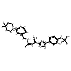 C/C(=N/C(=N)c1nc(-c2ccc(OC(C)(F)F)cc2)no1)NCc1ccnc(N2CCC(C)(C)CC2)c1